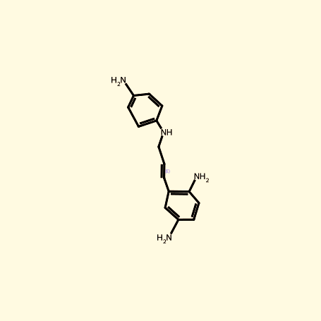 Nc1ccc(NC/C=C/c2cc(N)ccc2N)cc1